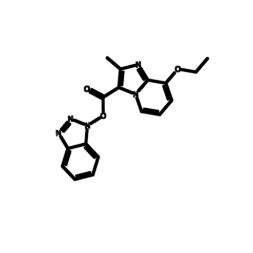 CCOc1cccn2c(C(=O)On3nnc4ccccc43)c(C)nc12